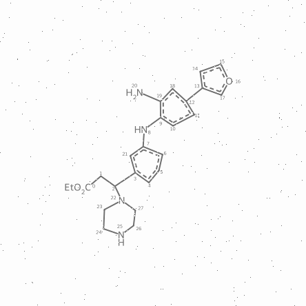 CCOC(=O)CC(c1cccc(Nc2ccc(-c3ccoc3)cc2N)c1)N1CCNCC1